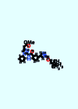 COC(=O)Cc1cn(-c2ccccc2)c(NC(=O)c2cccc(-c3cnn(COCC[Si](C)(C)C)c3)c2)n1